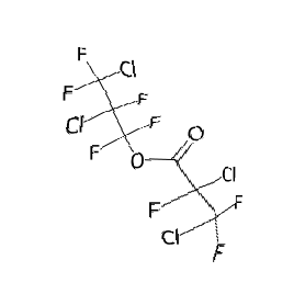 O=C(OC(F)(F)C(F)(Cl)C(F)(F)Cl)C(F)(Cl)C(F)(F)Cl